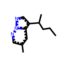 CCCC(C)c1cnn2ncc(C)cc12